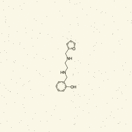 Oc1ccccc1CNCCNCc1ccco1